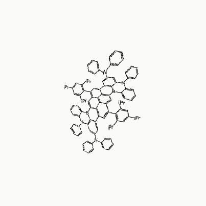 CC(C)c1cc(C(C)C)c(-c2cc3c4c(cc5c(-c6c(C(C)C)cc(C(C)C)cc6C(C)C)cc6c7c(cc2c4c57)B2c4ccccc4N(c4ccccc4)c4cc(N(c5ccccc5)c5ccccc5)cc-6c42)B2c4ccccc4N(c4ccccc4)c4cc(N(c5ccccc5)c5ccccc5)cc-3c42)c(C(C)C)c1